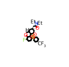 CCN(CC)C(=O)C[C@@H]1CC[C@@]2(S(=O)(=O)c3ccc(C(F)(F)F)cc3)c3c(F)ccc(F)c3OC[C@H]2C1